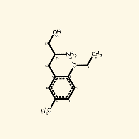 CCOc1ccc(C)cc1CC(N)CO